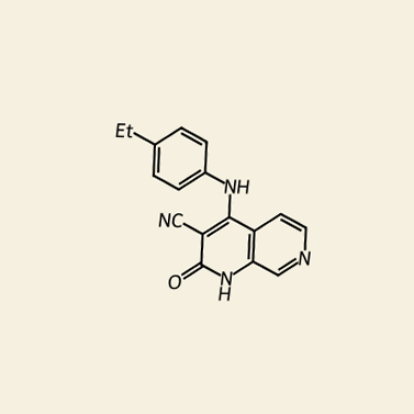 CCc1ccc(Nc2c(C#N)c(=O)[nH]c3cnccc23)cc1